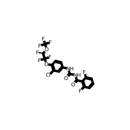 O=C(NC(=O)c1c(F)cccc1F)Nc1ccc(OC(F)(F)[C@@H](F)OC(F)(F)F)c(Cl)c1